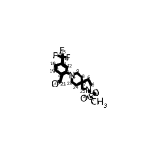 CS(=O)(=O)N1CCC2(CCN(c3cc(C(F)(F)F)ccc3C=O)CC2)C1